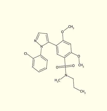 CCCN(C)S(=O)(=O)c1cc(-c2ccnn2-c2ccccc2Cl)c(OC)cc1OC